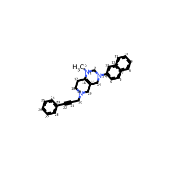 CN1CN(c2ccc3ccccc3c2)CC2=C1CCN(CC#Cc1ccccc1)C2